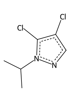 CC(C)n1ncc(Cl)c1Cl